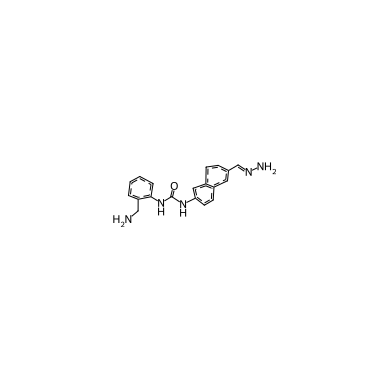 NCc1ccccc1NC(=O)Nc1ccc2cc(C=NN)ccc2c1